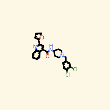 O=C(NC1CCN(Cc2ccc(Cl)c(Cl)c2)CC1)c1cc(-c2ccco2)nc2ccccc12